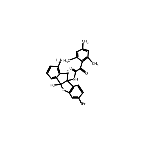 Cc1cc(C)c(C(=O)C(=O)NC23C(=O)c4c(N)cccc4C2(O)Oc2cc(C(C)C)ccc23)c(C)c1